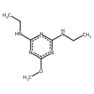 CCNc1nc(NCC)nc(OC)n1